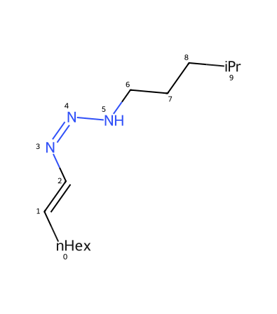 CCCCCC/C=C/N=N\NCCCC(C)C